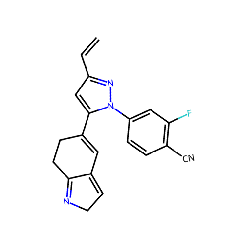 C=Cc1cc(C2=CC3=CCN=C3CC2)n(-c2ccc(C#N)c(F)c2)n1